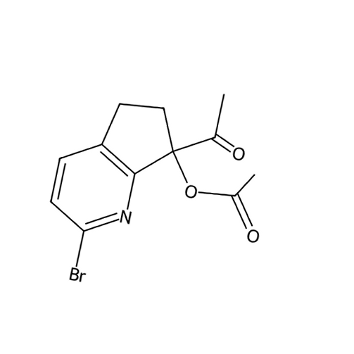 CC(=O)OC1(C(C)=O)CCc2ccc(Br)nc21